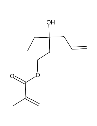 C=CCC(O)(CC)CCOC(=O)C(=C)C